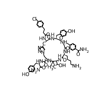 CC(O)C1NC(=O)[C@H](CCCCN)NC(=O)[C@@H](Cc2ccc(C(N)=O)cc2)NC(=O)[C@H](Cc2ccc(O)cc2)NC(=O)[C@H](NC(=O)CCc2ccc(Cl)cc2)Cc2cn(nn2)C[C@@H](C(=O)N[C@H](Cc2ccc(O)cc2)C(N)=O)NC1=O